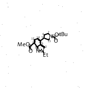 CCn1cc2c(C3CCN(C(=O)OC(C)(C)C)C3)ccc(C(=O)OC)c2n1